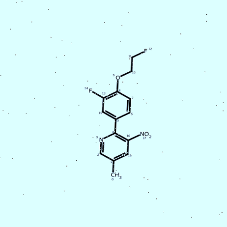 Cc1cnc(-c2ccc(OCCF)c(F)c2)c([N+](=O)[O-])c1